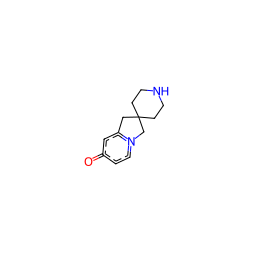 O=c1ccn2c(c1)CC1(CCNCC1)C2